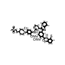 CCc1cc(NC2=NC(c3c(-c4ccc(OC)c(C(=O)Nc5c(F)cccc5F)c4)nc4ccccn34)CC=N2)c(OC)cc1N1CCC(CCS(C)(=O)=O)CC1